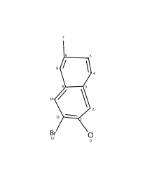 Clc1cc2ccc(I)cc2cc1Br